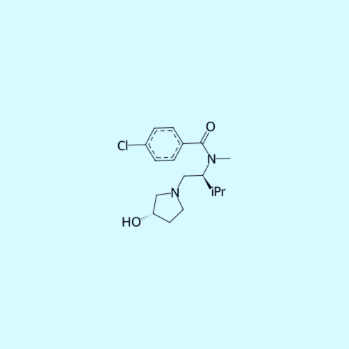 CC(C)[C@@H](CN1CC[C@H](O)C1)N(C)C(=O)c1ccc(Cl)cc1